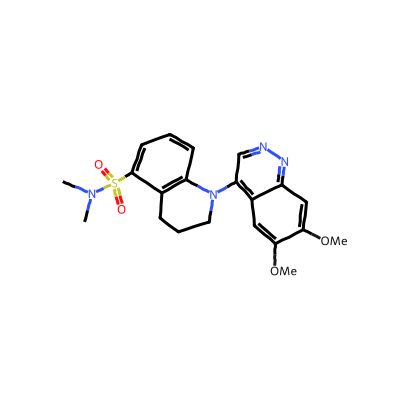 COc1cc2nncc(N3CCCc4c3cccc4S(=O)(=O)N(C)C)c2cc1OC